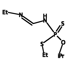 CCN=CNP(=S)(OC(C)C)SCC